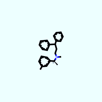 Cc1cccc([C@H](C)N(C)CCC(c2ccccc2)c2ccccc2)c1